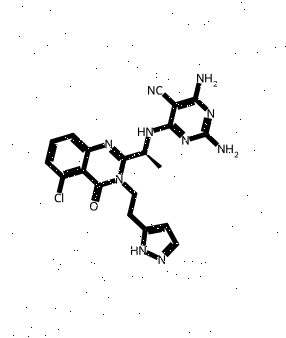 C[C@H](Nc1nc(N)nc(N)c1C#N)c1nc2cccc(Cl)c2c(=O)n1CCc1ccn[nH]1